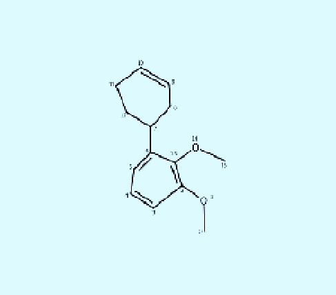 COc1cccc(C2CC=CCC2)c1OC